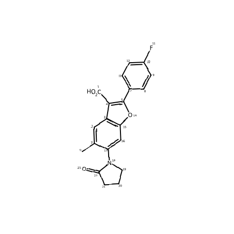 Cc1cc2c(C(=O)O)c(-c3ccc(F)cc3)oc2cc1N1CCCC1=O